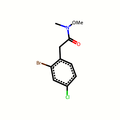 CON(C)C(=O)Cc1ccc(Cl)cc1Br